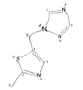 Cc1ncc(Cn2cncn2)s1